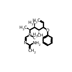 C=CC(Oc1ccccc1)[C@H](C)[C@H](C)[C@H](C)N(C)/C=N\C(=C)N